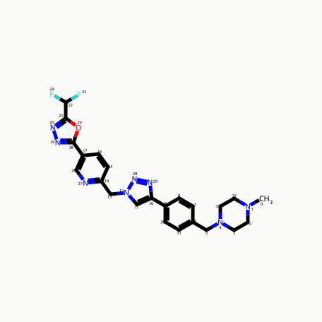 CN1CCN(Cc2ccc(-c3cn(Cc4ccc(-c5nnc(C(F)F)o5)cn4)nn3)cc2)CC1